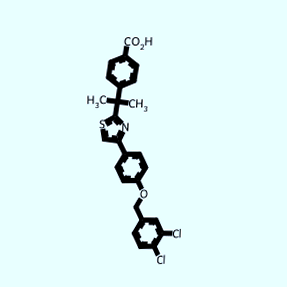 CC(C)(c1ccc(C(=O)O)cc1)c1nc(-c2ccc(OCc3ccc(Cl)c(Cl)c3)cc2)cs1